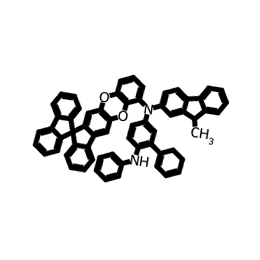 CC1c2ccccc2-c2ccc(N(c3ccc(Nc4ccccc4)c(C4=CC=CCC4)c3)c3cccc4c3Oc3cc5c(cc3O4)C3(c4ccccc4-c4ccccc43)c3ccccc3-5)cc21